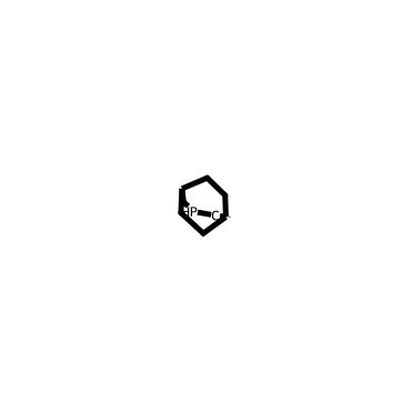 C1CC2CC[C]1CPC2